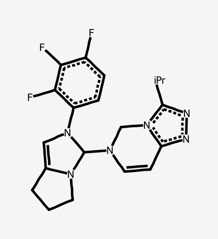 CC(C)c1nnc2n1CN(C1N3CCCC3=CN1c1ccc(F)c(F)c1F)C=C2